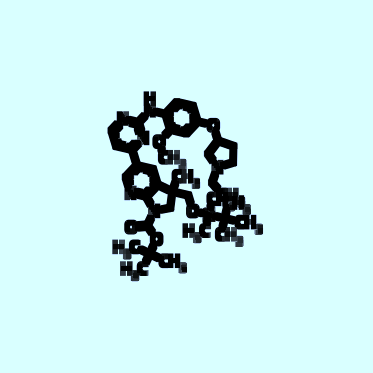 CCN1CCC(Oc2ccc(Nc3nccc(-c4cnc5c(c4)C(C)(CO[Si](C)(C)C(C)(C)C)CN5C(=O)OC(C)(C)C)n3)c(OC)c2)C1